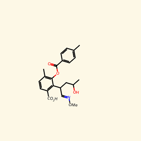 CON=CC(CC(C)O)c1c(C(=O)O)ccc(C)c1OC(=O)c1ccc(C)cc1